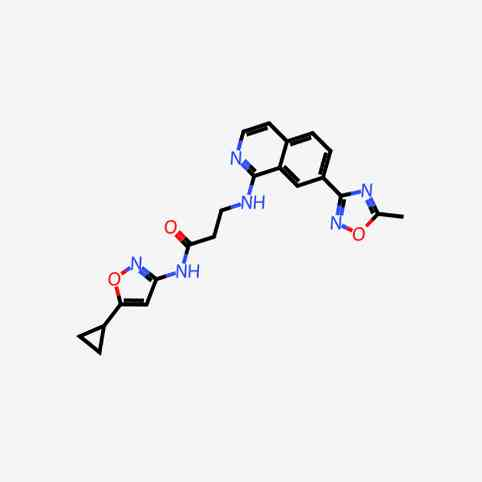 Cc1nc(-c2ccc3ccnc(NCCC(=O)Nc4cc(C5CC5)on4)c3c2)no1